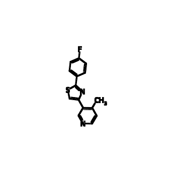 Cc1ccncc1-c1csc(-c2ccc(F)cc2)n1